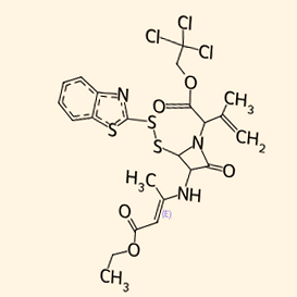 C=C(C)C(C(=O)OCC(Cl)(Cl)Cl)N1C(=O)C(N/C(C)=C/C(=O)OCC)C1SSc1nc2ccccc2s1